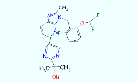 Cc1nc2ccc(-c3cnc(C(C)(C)O)nc3)nc2n1Cc1c(F)cccc1OC(F)F